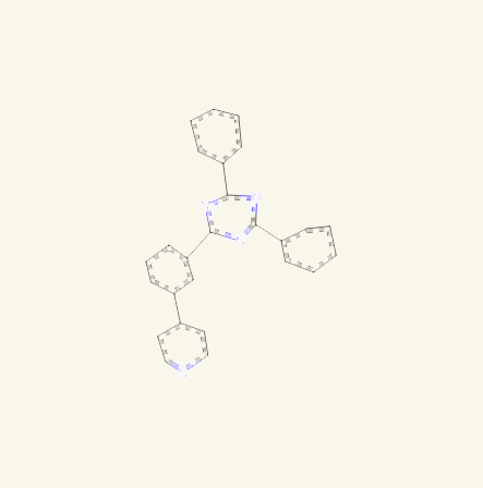 c1ccc(-c2nc(-c3ccccc3)nc(-c3cccc(-c4ccncc4)c3)n2)cc1